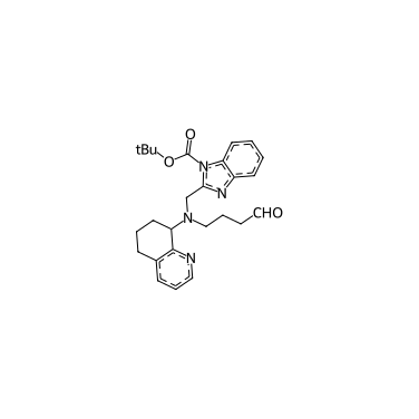 CC(C)(C)OC(=O)n1c(CN(CCCC=O)C2CCCc3cccnc32)nc2ccccc21